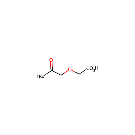 CC(C)(C)C(=O)COCC(=O)O